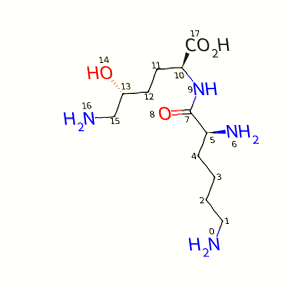 NCCCC[C@H](N)C(=O)N[C@@H](CC[C@@H](O)CN)C(=O)O